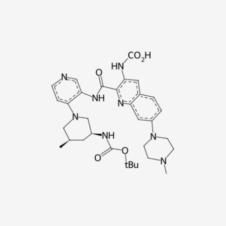 C[C@@H]1C[C@H](NC(=O)OC(C)(C)C)CN(c2ccncc2NC(=O)c2nc3cc(N4CCN(C)CC4)ccc3cc2NC(=O)O)C1